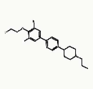 CCCC1CCC(c2ccc(-c3cc(F)c(OCCF)c(F)c3)cc2)CC1